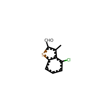 Cc1c(C=O)sc2cccc(Cl)c12